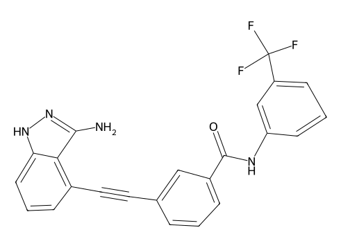 Nc1n[nH]c2cccc(C#Cc3cccc(C(=O)Nc4cccc(C(F)(F)F)c4)c3)c12